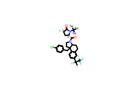 [2H]C([2H])([2H])N1C(=O)[C@@H](F)C[C@H]1C(=O)N1CCC2(Cc3ccc(Cl)cc3)c3ccc(C(C)(F)C(F)(F)F)cc3CCC12